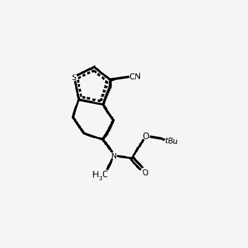 CN(C(=O)OC(C)(C)C)C1CCc2scc(C#N)c2C1